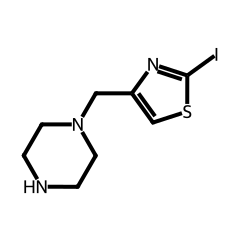 Ic1nc(CN2CCNCC2)cs1